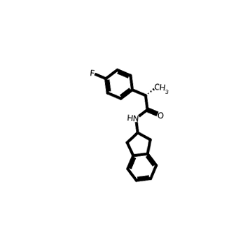 C[C@H](C(=O)NC1Cc2ccccc2C1)c1ccc(F)cc1